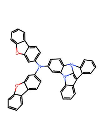 c1ccc2c(c1)oc1cc(N(c3ccc4c(c3)oc3ccccc34)c3ccc4c(c3)n3c5ccccc5c5c6ccccc6n4c53)ccc12